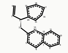 C=C[C@@H](Cc1ccc2ccccc2n1)c1ccccc1